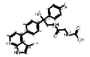 O=C(O)NCC(=O)NCC(O)(c1ccc(Cl)cc1)c1ccc(-c2ccnc3[nH]cc(F)c23)cc1